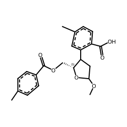 COC1CC(c2cc(C)ccc2C(=O)O)[C@@H](COC(=O)c2ccc(C)cc2)O1